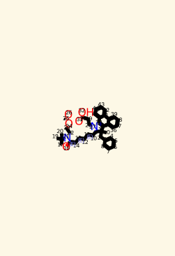 CC1(Cc2ccccc2)C(/C=C/C=C/C=C2/OCC(C)(C)N2CCOC=O)=[N+](CCC(=O)O)c2c1c1ccccc1c1ccccc21